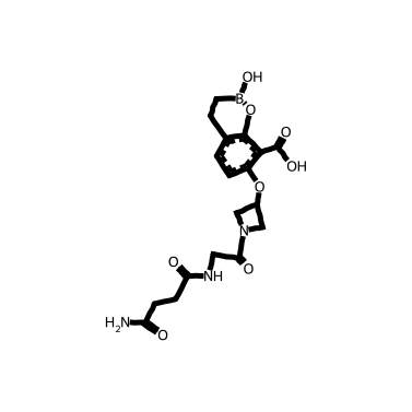 NC(=O)CCC(=O)NCC(=O)N1CC(Oc2ccc3c(c2C(=O)O)OB(O)CC3)C1